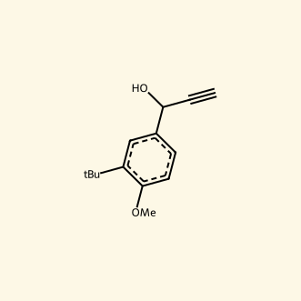 C#CC(O)c1ccc(OC)c(C(C)(C)C)c1